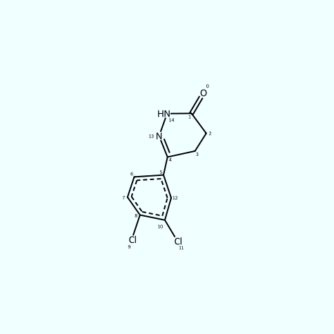 O=C1CCC(c2ccc(Cl)c(Cl)c2)=NN1